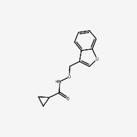 O=C(NOCc1coc2ccccc12)C1CC1